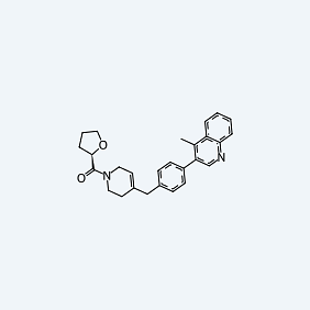 Cc1c(-c2ccc(CC3=CCN(C(=O)[C@H]4CCCO4)CC3)cc2)cnc2ccccc12